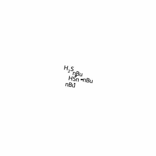 CCC[CH2][SnH]([CH2]CCC)[CH2]CCC.S